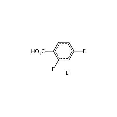 O=C(O)c1ccc(F)cc1F.[Li]